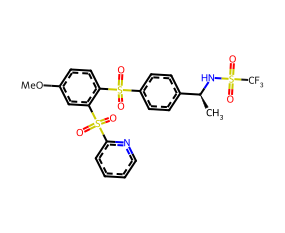 COc1ccc(S(=O)(=O)c2ccc([C@H](C)NS(=O)(=O)C(F)(F)F)cc2)c(S(=O)(=O)c2ccccn2)c1